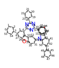 c1ccc(-c2cc(-c3nc(-c4ccccc4)nc(-c4ccccc4)n3)c3c(c2)oc2ccc(-n4c5ccccc5c5ccc(-c6ccccc6)cc54)cc23)cc1